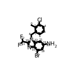 Cc1c(Cl)cccc1Cn1c(C(F)F)nc2c(Br)cc(N)cc21